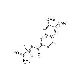 COc1cc2c(cc1OC)CN(C(=O)[CH]C(C)(C)C(N)=O)CC2